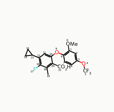 COc1cc(OC(F)(F)F)ccc1Oc1cc(C2CC2)c(F)c(C)c1C(=O)O